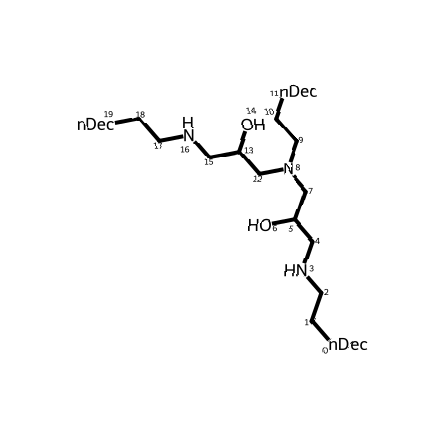 CCCCCCCCCCCCNCC(O)CN(CCCCCCCCCCCC)CC(O)CNCCCCCCCCCCCC